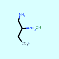 Cl.NCC(N)CC(=O)O